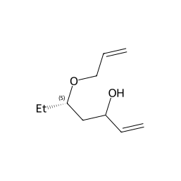 C=CCO[C@@H](CC)CC(O)C=C